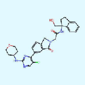 O=C(CN1Cc2ccc(-c3nc(NC4CCOCC4)ncc3Cl)cc2C1=O)NC1(CO)CCc2ccccc21